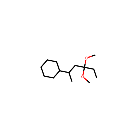 CCC(CC(C)C1CCCCC1)(OC)OC